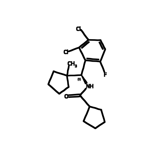 CC1([C@H](NC(=O)C2CCCC2)c2c(F)ccc(Cl)c2Cl)CCCC1